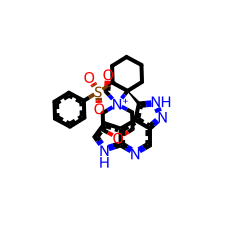 O=C[N+]1([C@@]2(c3[nH]nc4cnc5[nH]ccc5c34)CCCC[C@@H]2S(=O)(=O)c2ccccc2)CCOCC1